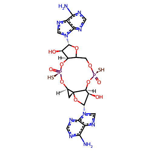 Nc1ncnc2c1ncn2[C@@H]1OC2CO[P@@](=O)(S)O[C@H]3[C@@H](O)[C@H](n4cnc5c(N)ncnc54)O[C@@]34C[C@H]4O[P@@](=O)(S)O[C@H]2[C@H]1O